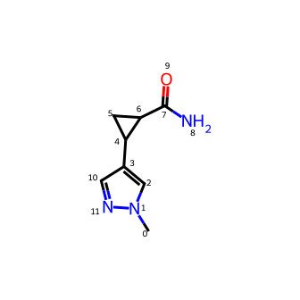 Cn1cc(C2CC2C(N)=O)cn1